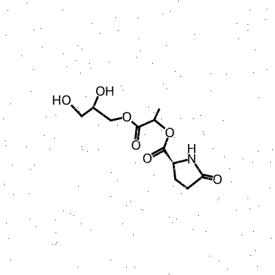 CC(OC(=O)[C@@H]1CCC(=O)N1)C(=O)OCC(O)CO